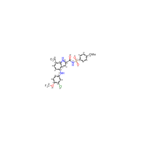 COc1ccc(S(=O)(=O)NC(=O)c2cc3c(Nc4ccc(OC(F)(F)F)c(Cl)c4)ccc([N+](=O)[O-])c3[nH]2)cc1